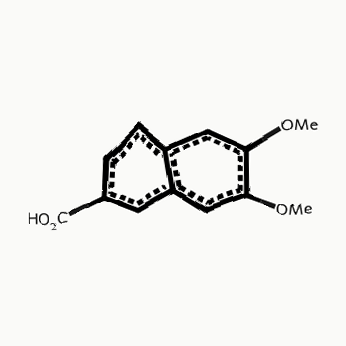 COc1cc2ccc(C(=O)O)cc2cc1OC